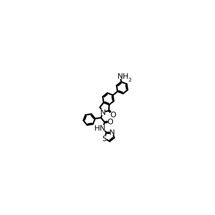 Nc1cccc(-c2ccc3c(c2)C(=O)N(C(C(=O)Nc2nccs2)c2ccccc2)C3)c1